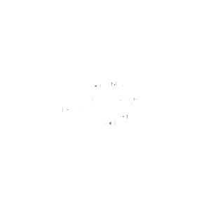 N.O=C(O)C(O)C(O)C(=O)O.[KH]